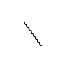 [CH2]CCCC/C=C/C/C=C/CCCCCCC